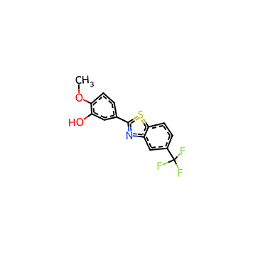 COc1ccc(-c2nc3cc(C(F)(F)F)ccc3s2)cc1O